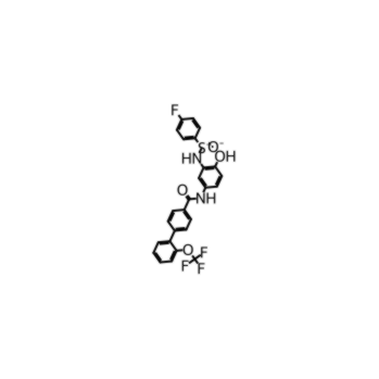 O=C(Nc1ccc(O)c(N[S+]([O-])c2ccc(F)cc2)c1)c1ccc(-c2ccccc2OC(F)(F)F)cc1